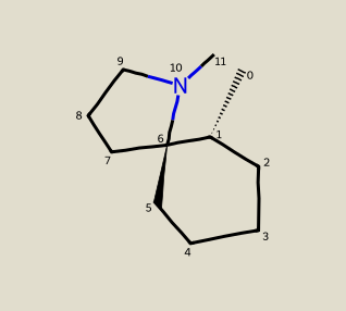 C[C@@H]1CCCC[C@]12CCCN2C